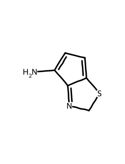 NC1=CC=C2SCN=C12